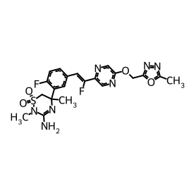 Cc1nnc(COc2cnc(C(F)=Cc3ccc(F)c(C4(C)CS(=O)(=O)N(C)C(N)=N4)c3)cn2)o1